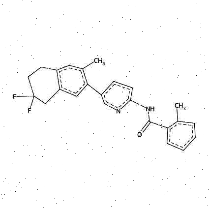 Cc1ccccc1C(=O)Nc1ccc(-c2cc3c(cc2C)CCC(F)(F)C3)cn1